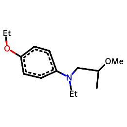 CCOc1ccc(N(CC)CC(C)OC)cc1